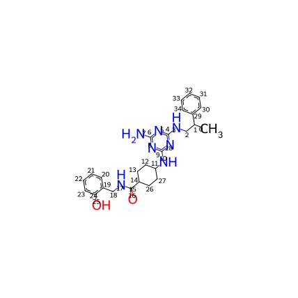 CC(CNc1nc(N)nc(NC2CCC(C(=O)NCc3ccccc3O)CC2)n1)c1ccccc1